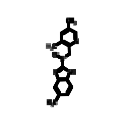 Cc1cnc(C[S+]([O-])c2nc3cc(C)ccc3[nH]2)c(C)c1